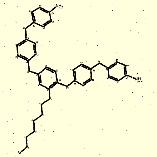 CCCCCCCCc1cc(Cc2ccc(Cc3ccc(N)cc3)cc2)ccc1Cc1ccc(Cc2ccc(N)cc2)cc1